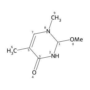 COC1NC(=O)C(C)=CN1C